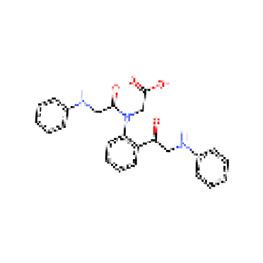 O=C(O)CN(C(=O)CNc1ccccc1)c1ccccc1C(=O)CNc1ccccc1